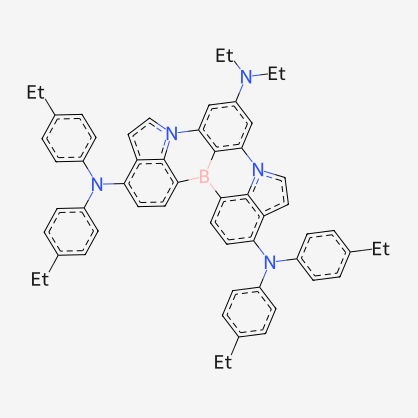 CCc1ccc(N(c2ccc(CC)cc2)c2ccc3c4c2ccn4-c2cc(N(CC)CC)cc4c2B3c2ccc(N(c3ccc(CC)cc3)c3ccc(CC)cc3)c3ccn-4c23)cc1